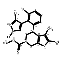 CCn1cc(-c2c(F)cccc2[C@@H]2CN(C(=O)OC(C)(C)C)Cc3sc(C#N)c(C)c32)c(C(F)(F)F)n1